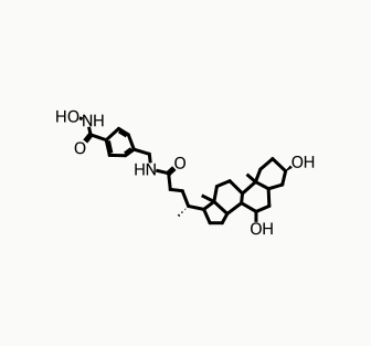 C[C@H](CCC(=O)NCc1ccc(C(=O)NO)cc1)C1CCC2C3C(O)CC4C[C@H](O)CCC4(C)C3CCC21C